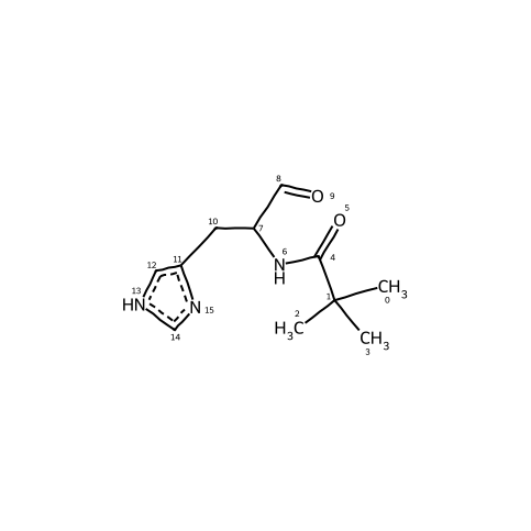 CC(C)(C)C(=O)NC(C=O)Cc1c[nH]cn1